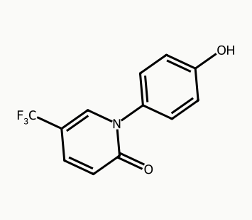 O=c1ccc(C(F)(F)F)cn1-c1ccc(O)cc1